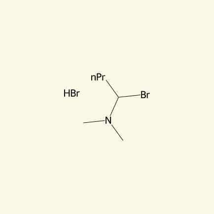 Br.CCCC(Br)N(C)C